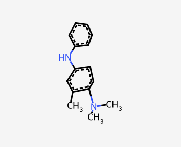 Cc1cc(Nc2ccccc2)ccc1N(C)C